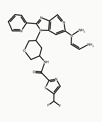 N/C=C\N(N)c1cc2c(cn1)nc(-c1ccccn1)n2C1COCC(NC(=O)c2ncc(C(F)F)s2)C1